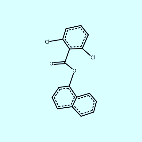 O=C(Oc1cccc2ccccc12)c1c(Cl)cccc1Cl